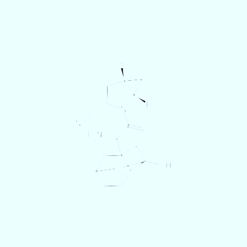 N#C[C@@H]1C[C@@H]2C[C@@H]2N1C(=O)[C@@H](N)C12CC3CC=C1C(O)(C3)C2